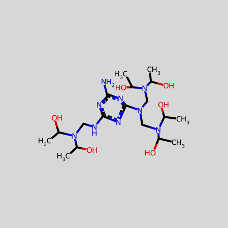 CC(O)N(CNc1nc(N)nc(N(CN(C(C)O)C(C)O)CN(C(C)O)C(C)O)n1)C(C)O